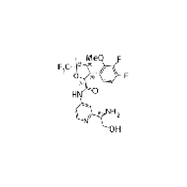 COc1c([C@@H]2[C@@H](C(=O)Nc3ccnc([C@@H](N)CO)c3)O[C@](C)(C(F)(F)F)[C@@H]2C)ccc(F)c1F